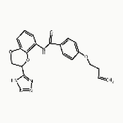 C=CCCOc1ccc(C(=O)Nc2cccc3c2OC(c2nnn[nH]2)CO3)cc1